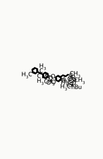 CCCC[Si](C)(C)O[Si](C)(C)O[Si](C)(C)CCCc1ccc(OC(=O)Oc2ccc(C(C)(C)c3cccc(C)c3)cc2C)c(OC)c1